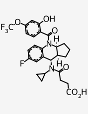 O=C(O)CCC(=O)N(C1CC1)[C@H]1c2cc(F)ccc2N(C(=O)c2ccc(OC(F)(F)F)cc2O)[C@H]2CCC[C@H]21